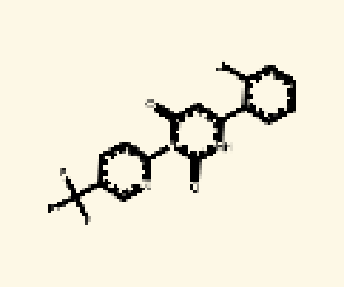 O=c1cc(-c2ccccc2Cl)[nH]c(=O)n1-c1ccc(C(F)(F)F)cn1